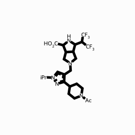 CC(=O)N1CCC(c2nn(C(C)C)cc2CN2CC3C(C(=O)O)NC(C(C(F)(F)F)C(F)(F)F)C3C2)CC1